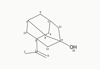 C=C(C)C12CC3CC(CC(O)(C3)C1)C2